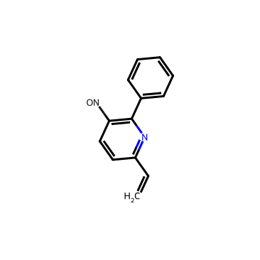 C=Cc1ccc(N=O)c(-c2ccccc2)n1